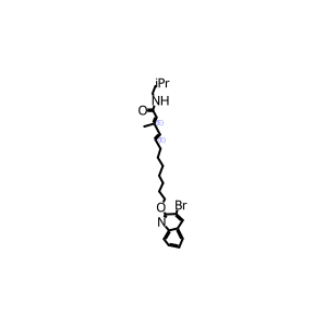 CC(/C=C/CCCCCCCOc1nc2ccccc2cc1Br)=C\C(=O)NCC(C)C